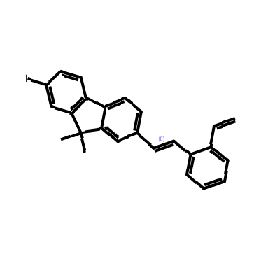 C=Cc1ccccc1/C=C/c1ccc2c(c1)C(C)(C)c1cc(I)ccc1-2